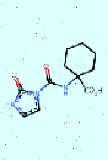 O=C(NC1(C(=O)O)CCCCC1)n1cc[nH]c1=O